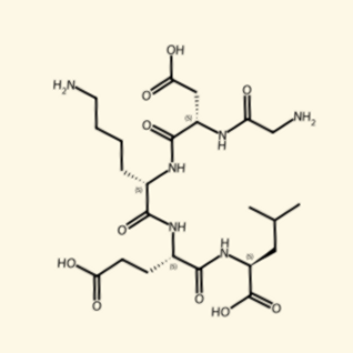 CC(C)C[C@H](NC(=O)[C@H](CCC(=O)O)NC(=O)[C@H](CCCCN)NC(=O)[C@H](CC(=O)O)NC(=O)CN)C(=O)O